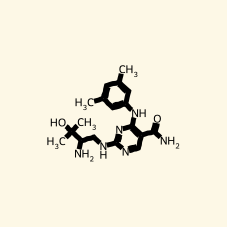 Cc1cc(C)cc(Nc2nc(NCC(N)C(C)(C)O)ncc2C(N)=O)c1